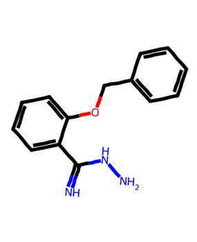 N=C(NN)c1ccccc1OCc1ccccc1